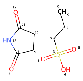 CCCS(=O)(=O)O.O=C1CCC(=O)N1